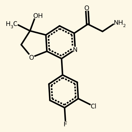 CC1(O)COc2c1cc(C(=O)CN)nc2-c1ccc(F)c(Cl)c1